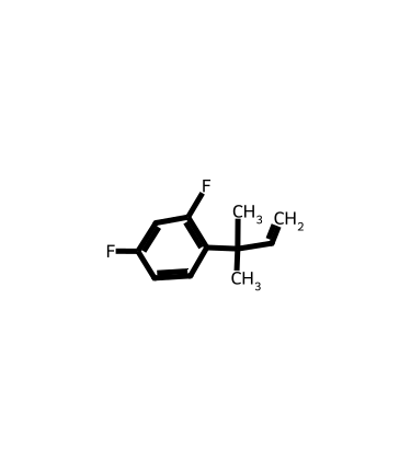 C=CC(C)(C)c1ccc(F)cc1F